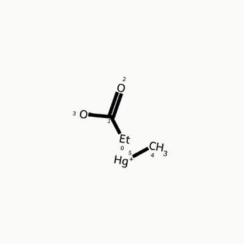 CCC(=O)[O-].[CH3][Hg+]